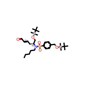 CCCCCN([C@@H](C/C=C/C=O)CO[Si](C)(C)C(C)(C)C)S(=O)(=O)c1ccc(CO[Si](C)(C)C(C)(C)C)cc1